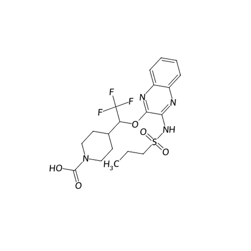 CCCS(=O)(=O)Nc1nc2ccccc2nc1OC(C1CCN(C(=O)O)CC1)C(F)(F)F